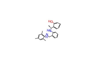 Cc1cc(C)c(NCc2ccccc2N[C@@H](C)c2ccccc2O)c(C)c1